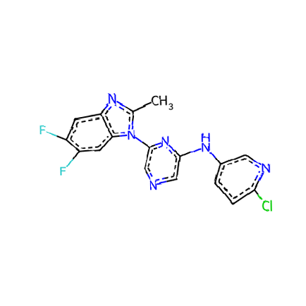 Cc1nc2cc(F)c(F)cc2n1-c1cncc(Nc2ccc(Cl)nc2)n1